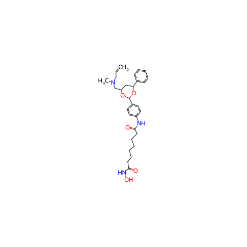 C=CCN(C)CC1CC(c2ccccc2)OC(c2ccc(NC(=O)CCCCCCC(=O)NO)cc2)O1